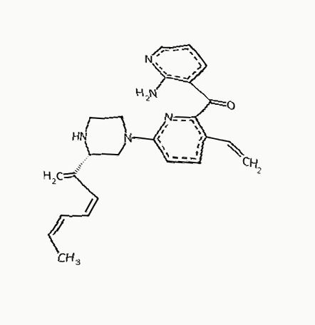 C=Cc1ccc(N2CCN[C@@H](C(=C)/C=C\C=C/C)C2)nc1C(=O)c1cccnc1N